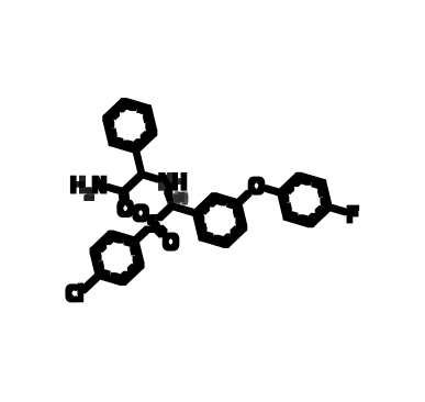 NC(=O)C(N[C@@H](c1cccc(Oc2ccc(F)cc2)c1)S(=O)(=O)c1ccc(Cl)cc1)c1ccccc1